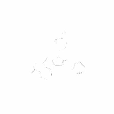 COC(=O)N1c2ccc3c(nc(Cc4ccccc4)n3[C@H]3CC[C@@H](C#N)CC3)c2CC[C@@H]1C